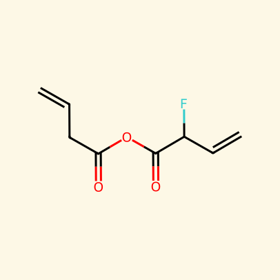 C=CCC(=O)OC(=O)C(F)C=C